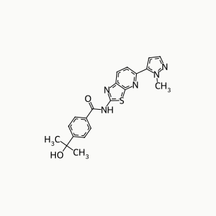 Cn1nccc1-c1ccc2nc(NC(=O)c3ccc(C(C)(C)O)cc3)sc2n1